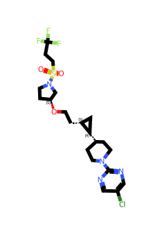 O=S(=O)(CCC(F)(F)F)N1CC[C@H](OCC[C@@H]2C[C@@H]2C2CCN(c3ncc(Cl)cn3)CC2)C1